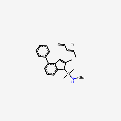 C=CC=CC.CC1=Cc2c(-c3ccccc3)cccc2C1[Si](C)(C)NC(C)(C)C.[Ti]